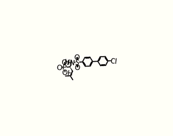 CC(C)C[C@H](NS(=O)(=O)c1ccc(-c2ccc(Cl)cc2)cc1)P(=O)(O)O